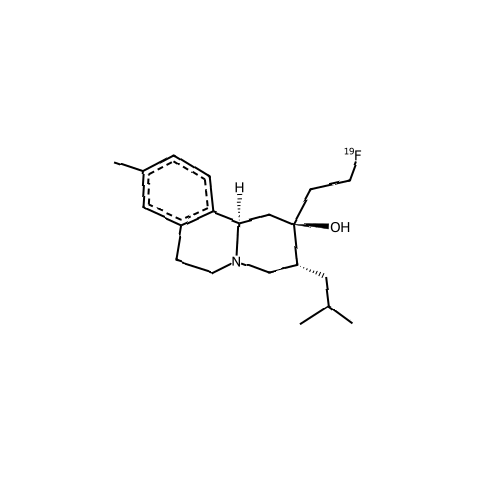 Cc1ccc2c(c1)CCN1C[C@@H](CC(C)C)[C@@](O)(CC[19F])C[C@H]21